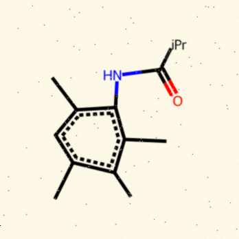 Cc1cc(C)c(NC(=O)C(C)C)c(C)c1C